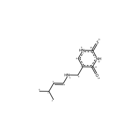 CC(C)C=CNCc1c[nH]c(=S)[nH]c1=O